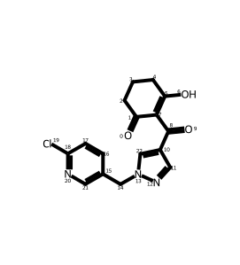 O=C1CCCC(O)=C1C(=O)c1cnn(Cc2ccc(Cl)nc2)c1